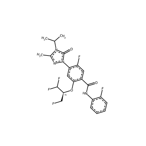 Cc1nn(-c2cc(O[C@@H](CF)C(F)F)c(C(=O)Nc3ccccc3F)cc2F)c(=O)n1C(C)C